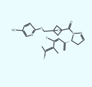 C=C(/C=C(F)\C(C)=C(/C)F)[C@H]1CC=NN1C(=O)C12CC(COc3ccc(C#N)cn3)(C1)C2